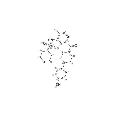 Cc1ccc(C(=O)N2CCC(c3ccc(C#N)cc3)CC2)cc1NS(=O)(=O)C1CCCCC1